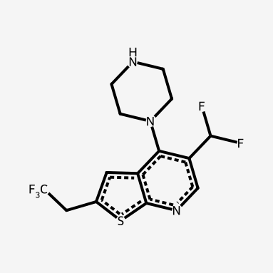 FC(F)c1cnc2sc(CC(F)(F)F)cc2c1N1CCNCC1